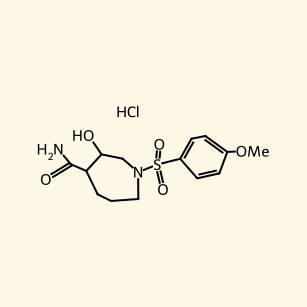 COc1ccc(S(=O)(=O)N2CCCC(C(N)=O)C(O)C2)cc1.Cl